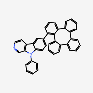 c1ccc(-n2c3ccc(-c4cccc5c4-c4ccccc4-c4ccccc4-c4ccccc4-5)cc3c3ccncc32)cc1